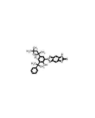 CC(C)(C)CC(C)(C)c1cc(-n2nc3cc4[nH]c(=S)oc4cc3n2)c(O)c(C(C)(C)c2ccccc2)c1